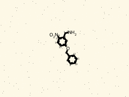 NCc1cc(OCc2ccccc2)ccc1[N+](=O)[O-]